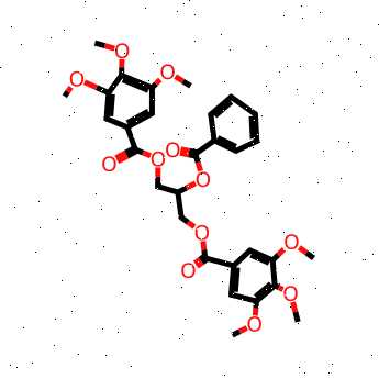 COc1cc(C(=O)OCC(COC(=O)c2cc(OC)c(OC)c(OC)c2)OC(=O)c2ccccc2)cc(OC)c1OC